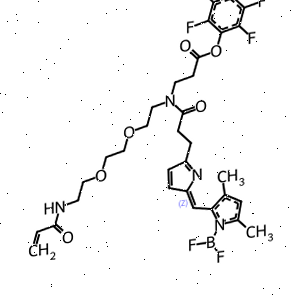 C=CC(=O)NCCOCCOCCN(CCC(=O)Oc1c(F)c(F)cc(F)c1F)C(=O)CCC1=N/C(=C\c2c(C)cc(C)n2B(F)F)C=C1